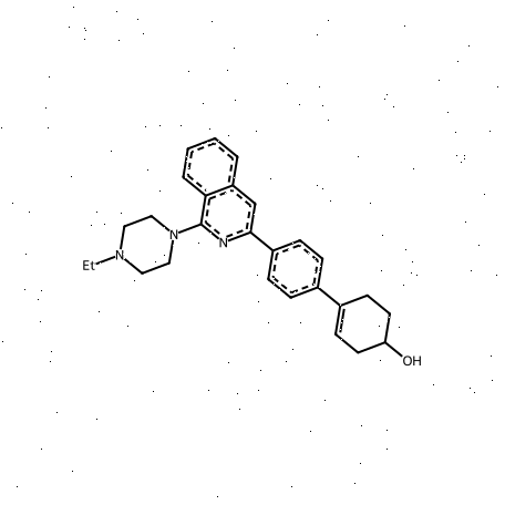 CCN1CCN(c2nc(-c3ccc(C4=CCC(O)CC4)cc3)cc3ccccc23)CC1